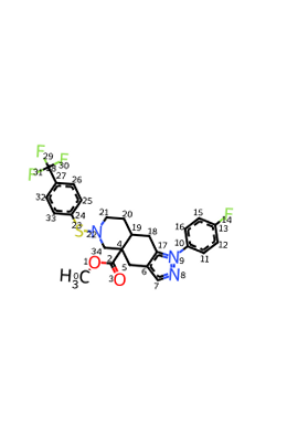 COC(=O)C12Cc3cnn(-c4ccc(F)cc4)c3CC1CCN(Sc1ccc(C(F)(F)F)cc1)C2